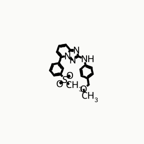 COCc1ccc(Nc2nc3cccc(-c4cccc(S(C)(=O)=O)c4)n3n2)cc1